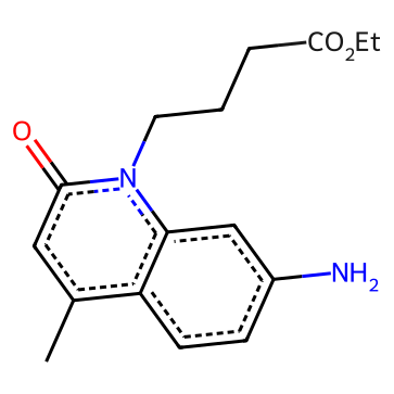 CCOC(=O)CCCn1c(=O)cc(C)c2ccc(N)cc21